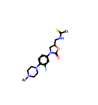 CCC(=S)NCC1CN(c2ccc(N3CCN(C(C)=O)CC3)c(F)c2)C(=O)O1